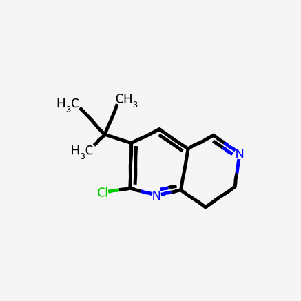 CC(C)(C)c1cc2c(nc1Cl)CCN=C2